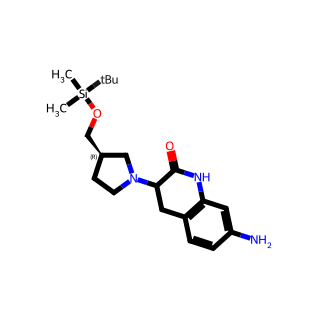 CC(C)(C)[Si](C)(C)OC[C@@H]1CCN(C2Cc3ccc(N)cc3NC2=O)C1